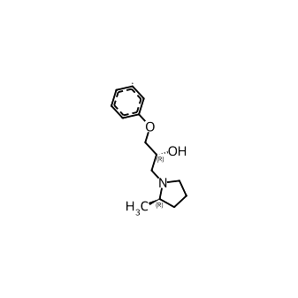 C[C@@H]1CCCN1C[C@@H](O)COc1c[c]ccc1